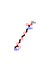 CC(C)(C)OC(=O)NCCOCCOCCOC(=O)C=N